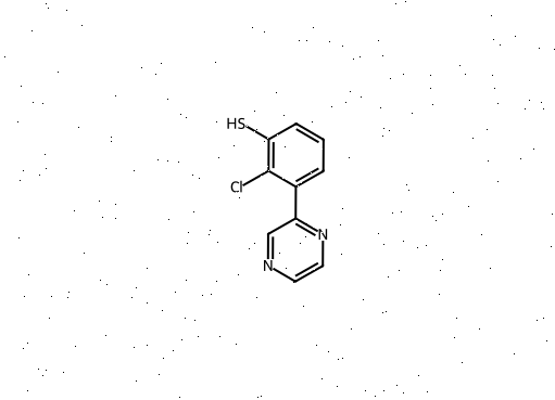 Sc1cccc(-c2cnccn2)c1Cl